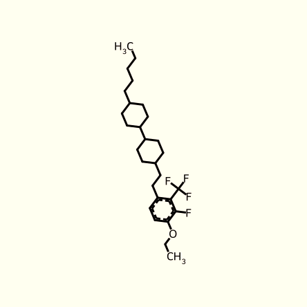 CCCCCC1CCC(C2CCC(CCc3ccc(OCC)c(F)c3C(F)(F)F)CC2)CC1